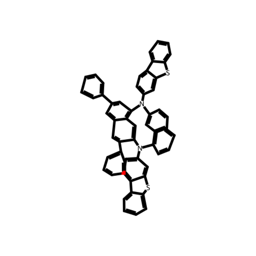 c1ccc(-c2cc(N(c3ccccc3)c3ccc4c(c3)sc3ccccc34)c3cc(N(c4ccccc4)c4ccc5c(c4)sc4ccccc45)c(-c4ccccc4)cc3c2)cc1